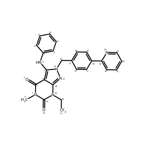 Cn1c(=O)c2c(Nc3ccccc3)n(Cc3ccc(-c4ccccn4)cc3)nc2n(CC(F)(F)F)c1=O